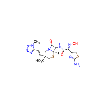 Cn1nnnc1C=CC1(C(=O)O)CS[C@@H]2C(NC(=O)C(=NO)c3csc(N)n3)C(=O)N2C1